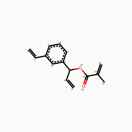 C=Cc1cccc(C(C=C)OC(=O)C(=C)C)c1